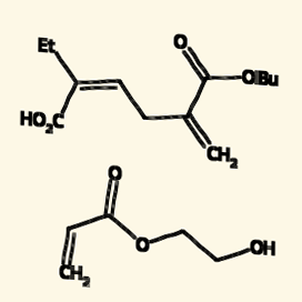 C=C(CC=C(CC)C(=O)O)C(=O)OCC(C)C.C=CC(=O)OCCO